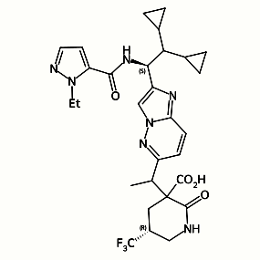 CCn1nccc1C(=O)N[C@H](c1cn2nc(C(C)C3(C(=O)O)C[C@@H](C(F)(F)F)CNC3=O)ccc2n1)C(C1CC1)C1CC1